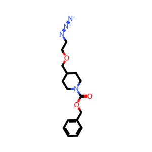 [N-]=[N+]=NCCOCC1CCN(C(=O)OCc2ccccc2)CC1